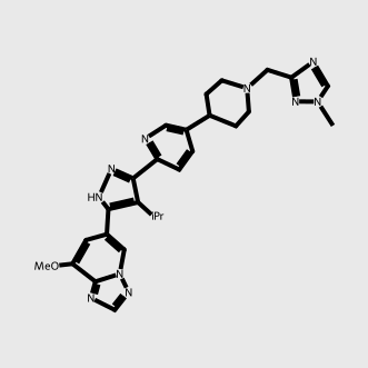 COc1cc(-c2[nH]nc(-c3ccc(C4CCN(Cc5ncn(C)n5)CC4)cn3)c2C(C)C)cn2ncnc12